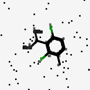 COC(OC)c1c(F)ccc(C)c1F